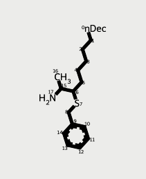 CCCCCCCCCCCCCCCC(SCc1ccccc1)C(C)N